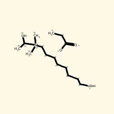 CCC(=O)[O-].CCCCCCCCCCCCCCCCCC[N+](C)(C)C(C)O